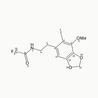 COc1c(I)c(CCNC(=O)C(F)(F)F)cc2c1OCO2